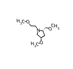 COCCN1C[C@H](OC)C[C@H]1COC